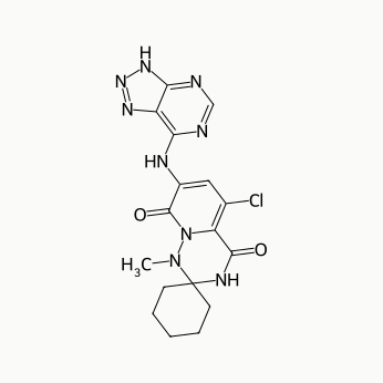 CN1n2c(c(Cl)cc(Nc3ncnc4[nH]nnc34)c2=O)C(=O)NC12CCCCC2